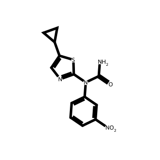 NC(=O)N(c1cccc([N+](=O)[O-])c1)c1ncc(C2CC2)s1